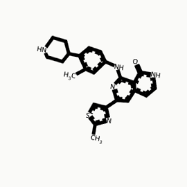 Cc1nc(-c2cc3cc[nH]c(=O)c3c(Nc3ccc(C4CCNCC4)c(C)c3)n2)cs1